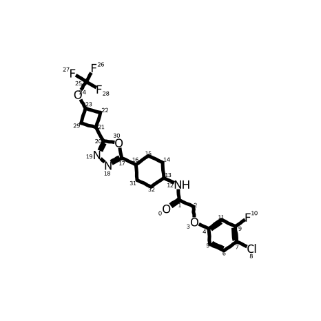 O=C(COc1ccc(Cl)c(F)c1)NC1CCC(c2nnc(C3CC(OC(F)(F)F)C3)o2)CC1